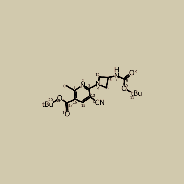 Cc1nc(N2CC(NC(=O)OC(C)(C)C)C2)c(C#N)cc1C(=O)OC(C)(C)C